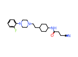 N#CCCC(=O)NC1CCC(CCN2CCN(c3ccccc3F)CC2)CC1